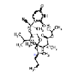 C=C/C=C(\C)OP(=O)(N[C@@H](C)C(=O)OC(C)C)OC[C@@H](O[C@@](C)(C#N)n1ccc(=O)[nH]c1=O)[C@@H](C)C(C)C